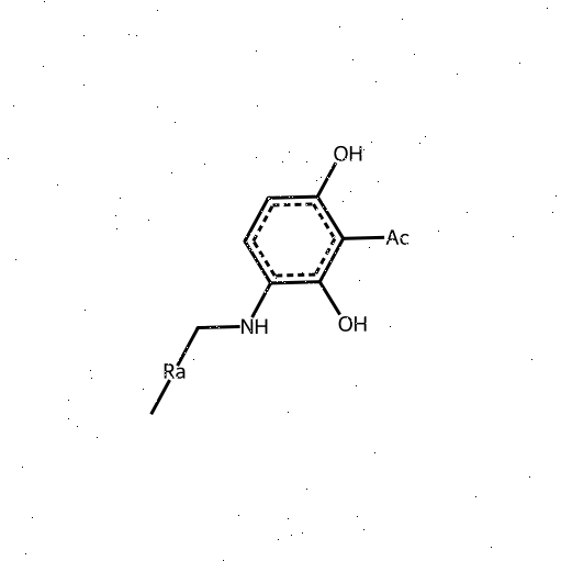 [CH3][Ra][CH2]Nc1ccc(O)c(C(C)=O)c1O